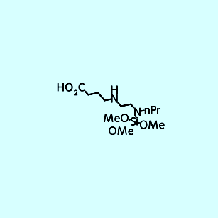 CCCN(CCNCCCC(=O)O)[Si](OC)(OC)OC